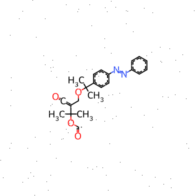 CC(C)(O[C]=O)C(=C=O)COC(C)(C)c1ccc(N=Nc2ccccc2)cc1